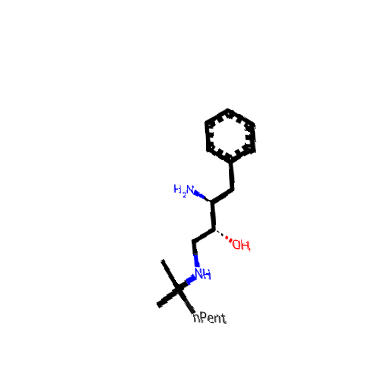 CCCCCC(C)(C)NC[C@@H](O)[C@@H](N)Cc1ccccc1